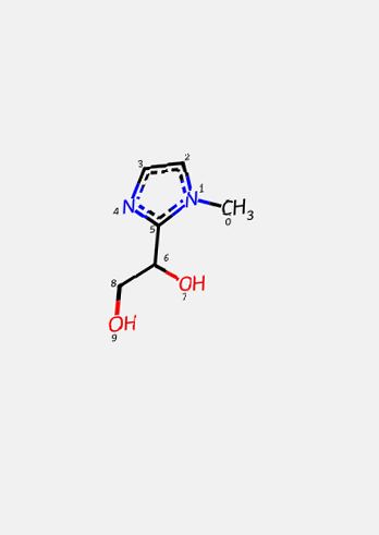 Cn1ccnc1C(O)CO